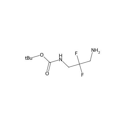 CC(C)(C)OC(=O)NCC(F)(F)CN